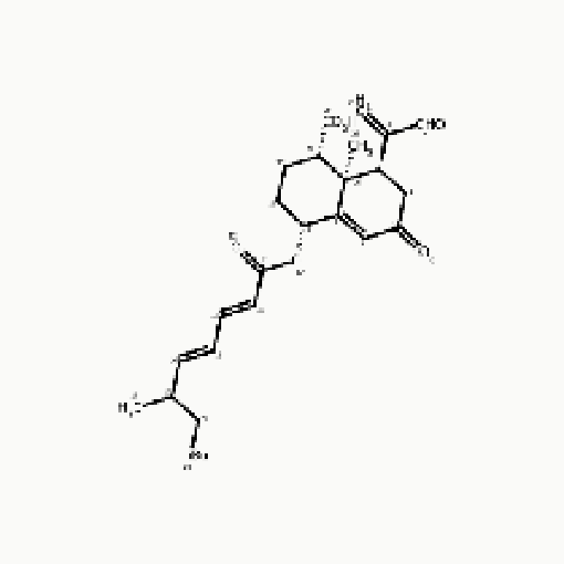 C=C(C=O)[C@H]1CC(=O)C=C2[C@H](OC(=O)C=CC=CC(C)CC(C)CC)CC[C@H](C(=O)O)[C@]21C